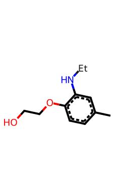 CCNc1cc(C)ccc1OCCO